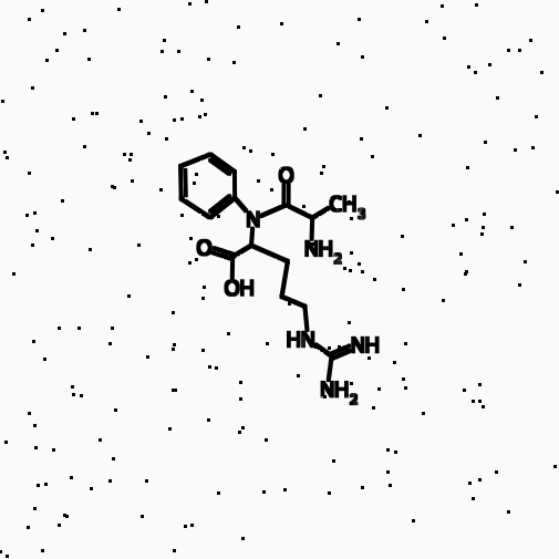 CC(N)C(=O)N(c1ccccc1)C(CCCNC(=N)N)C(=O)O